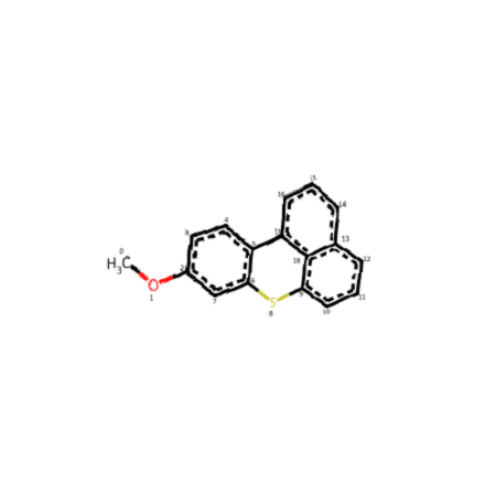 COc1ccc2c(c1)Sc1cccc3cccc-2c13